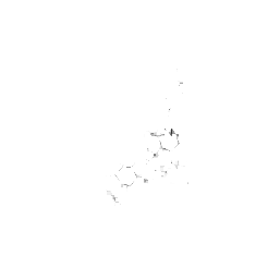 C[Si](C)(C)CCOCn1ncc(N2CCC[C@H]2COc2cccc(C(=O)O)c2)c(C(F)(F)F)c1=O